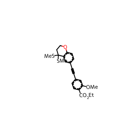 CCOC(=O)c1ccc(C#Cc2ccc3c(c2)C(SC)(SC)CCO3)cc1OC